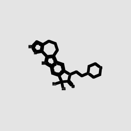 CCC1(CC)C(=O)N(CCN2CCOCC2)c2cc3c4c([nH]c3cc21)-c1n[nH]cc1CCC4